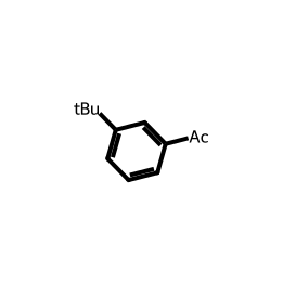 CC(=O)c1cccc(C(C)(C)C)c1